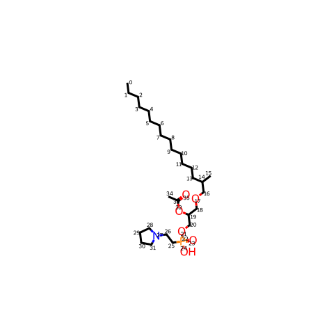 CCCCCCCCCCCCCCC(C)COCC(COP(=O)(O)CCN1CCCC1)OC(C)=O